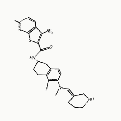 Cc1ccc2c(N)c(C(=O)N[C@H]3CCc4c(ccc(N(C)/C=C5\CCCNC5)c4F)C3)sc2n1